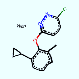 Cc1cccc(C2CC2)c1Oc1ccc(Cl)nn1.[NaH]